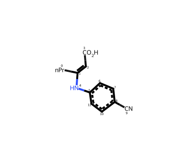 CCCC(=CC(=O)O)Nc1ccc(C#N)cc1